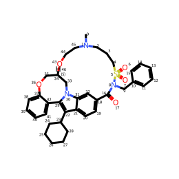 CN1CCCS(=O)(=O)N(Cc2ccccc2)C(=O)c2ccc3c(C4CCCCC4)c4n(c3c2)C[C@@H](COc2ccccc2-4)OCC1